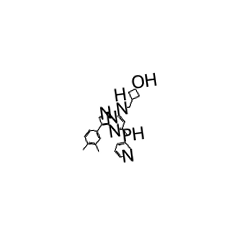 Cc1ccc(-c2cnn3c(NCC4CC(O)C4)cc(Pc4cccnc4)nc23)cc1C